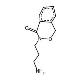 NCCCN1OCc2ccccc2C1=O